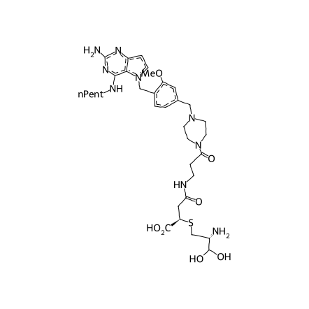 CCCCCNc1nc(N)nc2ccn(Cc3ccc(CN4CCN(C(=O)CCNC(=O)C[C@@H](SC[C@H](N)C(O)O)C(=O)O)CC4)cc3OC)c12